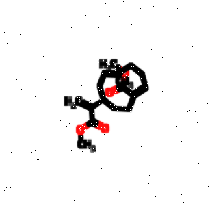 C=C(C(=O)OC)[C@H]1C/C=C(\C)CC/C=C(\C(=O)OC)CC1